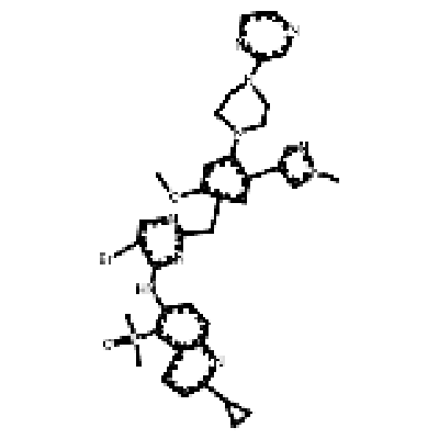 COc1cc(N2CCN(c3cnccn3)CC2)c(-c2cnn(C)c2)cc1Cc1ncc(Br)c(Nc2ccc3nc(C4CC4)ccc3c2P(C)(C)=O)n1